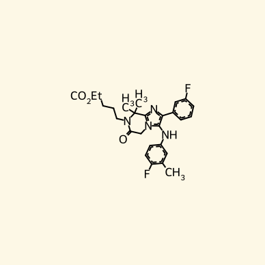 CCOC(=O)CCCN1C(=O)Cn2c(nc(-c3cccc(F)c3)c2Nc2ccc(F)c(C)c2)C1(C)C